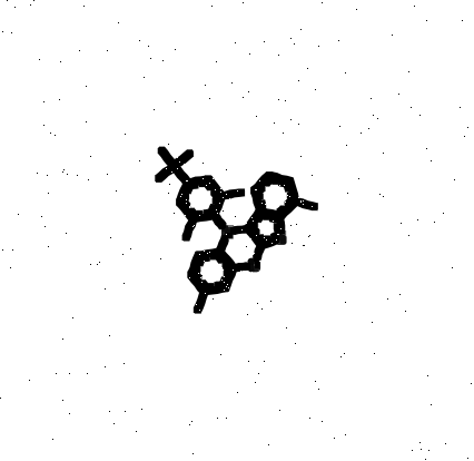 Cc1ccc2c(c1)Oc1sc3c(C)cccc3c1N2c1c(C)cc(C(C)(C)C)cc1C